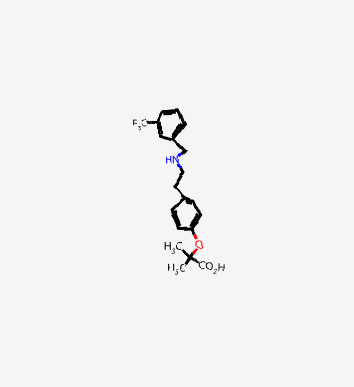 CC(C)(Oc1ccc(CCNCc2cccc(C(F)(F)F)c2)cc1)C(=O)O